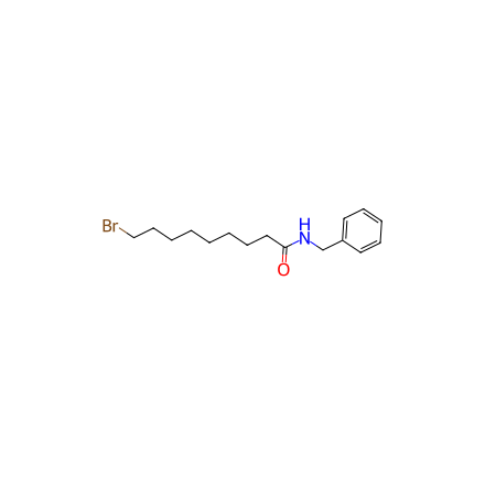 O=C(CCCCCCCCBr)NCc1ccccc1